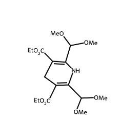 CCOC(=O)C1=C(C(OC)OC)NC(C(OC)OC)=C(C(=O)OCC)C1